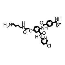 CN(C)C(=N)c1ccc(C(=O)Nc2ccc(OCC(=O)NCCCCN)cc2C(=O)Nc2ccc(Cl)cn2)cc1